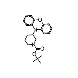 CC(C)(C)OC(=O)N1CCCC(N2c3ccccc3Oc3ccccc32)C1